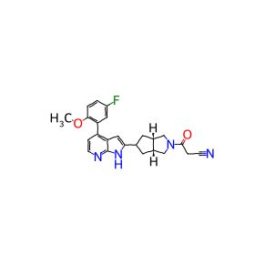 COc1ccc(F)cc1-c1ccnc2[nH]c(C3C[C@@H]4CN(C(=O)CC#N)C[C@@H]4C3)cc12